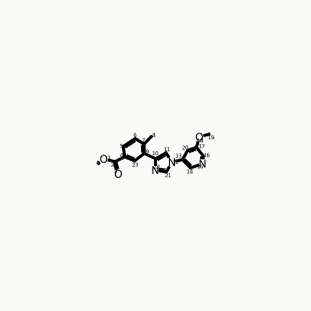 COC(=O)c1ccc(C)c(-c2cn(-c3cncc(OC)c3)cn2)c1